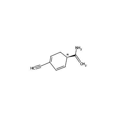 C#CC1=CC[C@@H](C(=C)N)C=C1